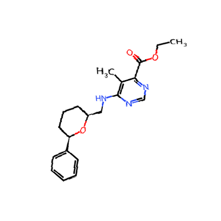 CCOC(=O)c1ncnc(NC[C@@H]2CCC[C@H](c3ccccc3)O2)c1C